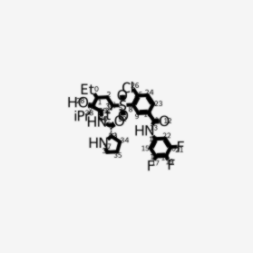 CCC(C[C@H](CC)S(=O)(=O)c1cc(C(=O)Nc2cc(F)c(F)c(F)c2)ccc1Cl)[C@](O)(CNC(=O)[C@@H]1CCCN1)C(C)C